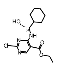 CCOC(=O)c1cnc(Cl)nc1N[C@H](CO)C1CCCCC1